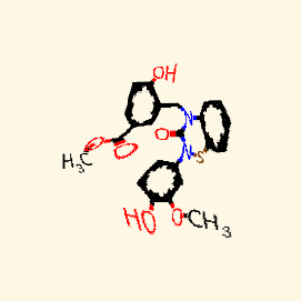 COC(=O)c1ccc(O)c(CN2C(=O)N(c3ccc(O)c(OC)c3)Sc3ccccc32)c1